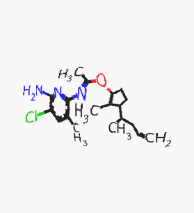 C=CCC(C)C1CCC(O/C(C)=N/c2nc(N)c(Cl)cc2C)C1C